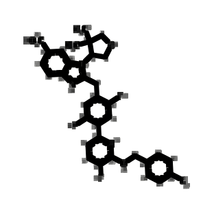 CC1(C)COCC1n1c(Cc2cc(F)c(-c3ccc(F)c(OCc4ccc(Cl)cc4)n3)cc2F)nc2ccc(C(=O)O)cc21